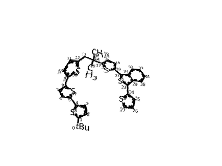 CC(C)(C)c1ccc(-c2ccc(-c3ccc(CC(C)(C)c4ccc(-c5sc(-c6cccs6)c6ccccc56)s4)s3)s2)s1